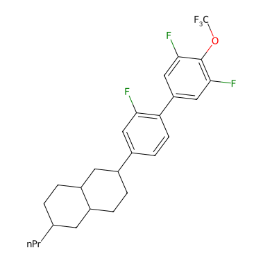 CCCC1CCC2CC(c3ccc(-c4cc(F)c(OC(F)(F)F)c(F)c4)c(F)c3)CCC2C1